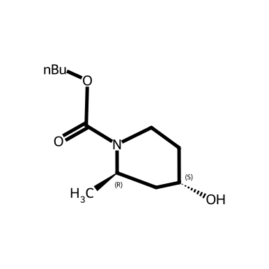 CCCCOC(=O)N1CC[C@H](O)C[C@H]1C